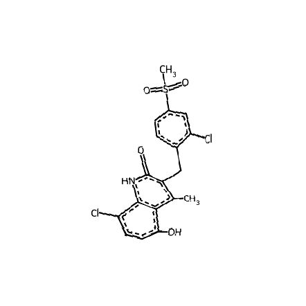 Cc1c(Cc2ccc(S(C)(=O)=O)cc2Cl)c(=O)[nH]c2c(Cl)ccc(O)c12